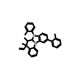 C=CC1(C)c2ccccc2N2c3cc(-c4ccccc4C)ccc3N(c3ccccc3C)C2C1C